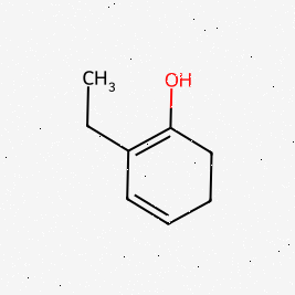 CCC1=C(O)CCC=C1